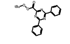 CC(C)(C)OOC(=O)c1nc(-c2ccccc2)nc(-c2ccccc2)n1